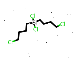 ClCCCC[Si](Cl)(Cl)CCCCCl